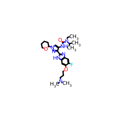 CCN(C(=O)Nc1cn(C2CCCCO2)nc1-c1nc2cc(F)c(OCCCN(C)C)cc2[nH]1)C(C)C